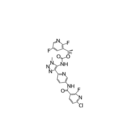 C[C@@H](OC(=O)Nc1c(-c2ccc(NC(=O)c3ccc(Cl)nc3F)cn2)nnn1C)c1cc(F)cnc1F